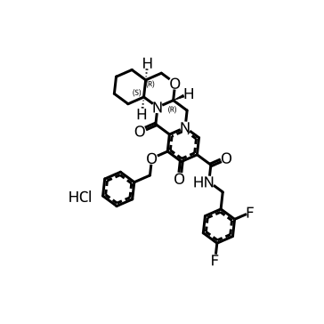 Cl.O=C(NCc1ccc(F)cc1F)c1cn2c(c(OCc3ccccc3)c1=O)C(=O)N1[C@@H](C2)OC[C@@H]2CCCC[C@@H]21